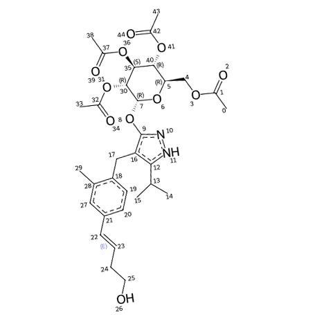 CC(=O)OC[C@H]1O[C@H](Oc2n[nH]c(C(C)C)c2Cc2ccc(/C=C/CCO)cc2C)[C@H](OC(C)=O)[C@@H](OC(C)=O)[C@@H]1OC(C)=O